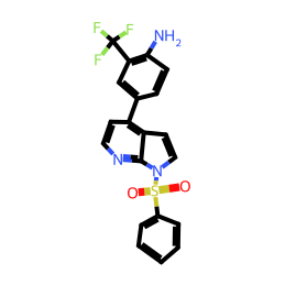 Nc1ccc(-c2ccnc3c2ccn3S(=O)(=O)c2ccccc2)cc1C(F)(F)F